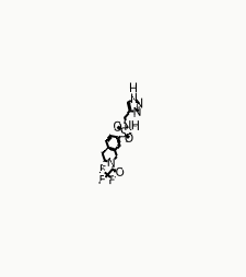 O=C(N1CCc2ccc(S(=O)(=O)NCc3c[nH]nn3)cc2C1)C(F)(F)F